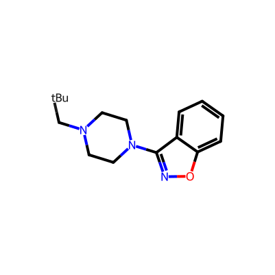 CC(C)(C)CN1CCN(c2noc3ccccc23)CC1